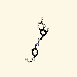 COc1ccc(/C=N/N=C/c2cc(F)c(OC(F)F)c(F)c2)cc1